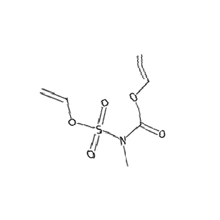 C=COC(=O)N(C)S(=O)(=O)OC=C